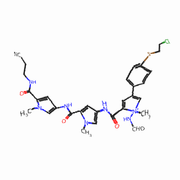 Cn1cc(NC(=O)c2cc(NC(=O)C3=CC(c4ccc(SCCCl)cc4)=C[N+]3(C)NC=O)cn2C)cc1C(=O)NCCC#N